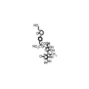 C#C[C@@]1(O)[C@@H](COC(Cc2ccc(N3CCCN(CCO)C3=O)cc2)(C(=O)O)C(=O)O)O[C@@H](N2c3nc(Cl)nc(NC(C)C)c3NC2C)[C@@H]1O